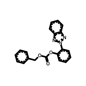 O=C(OCc1ccccc1)Oc1ccccc1-n1nc2ccccc2n1